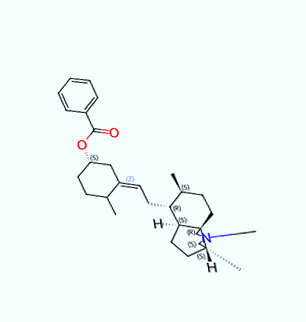 CC1CC[C@H](OC(=O)c2ccccc2)C/C1=C/C[C@@H]1[C@@H](C)CC[C@]23CN(C)[C@@H](C)[C@H]2CC[C@@H]13